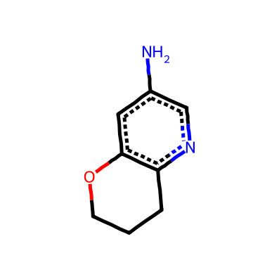 Nc1cnc2c(c1)OCCC2